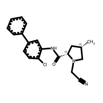 C[C@H]1C[C@@H](C(=O)Nc2cc(-c3ccccc3)ccc2Cl)N(CC#N)C1